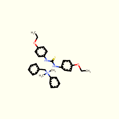 CCOc1ccc(NC(=S)Nc2ccc(OCC)cc2)cc1.C[N+](C)(Cc1ccccc1)c1ccccc1